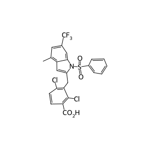 Cc1cc(C(F)(F)F)cc2c1cc(Cc1c(Cl)ccc(C(=O)O)c1Cl)n2S(=O)(=O)c1ccccc1